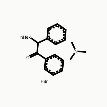 Br.CCCCCCC(C(=O)c1ccccc1)c1ccccc1.CN(C)C